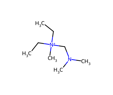 CC[N+](C)(CC)CN(C)C